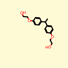 CC(c1ccc(OCCO)cc1)c1ccc(OCCO)cc1